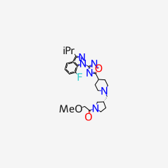 COCC(=O)N1CC[C@@H](CN2CCC(c3nc(-n4nc(C(C)C)c5cccc(F)c54)no3)CC2)C1